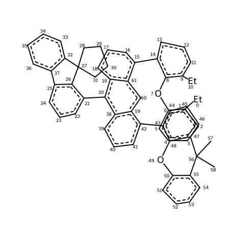 CCc1ccccc1Oc1c(CC)cccc1-c1cccc2c(-c3cccc4c3C3(CCCC3)c3ccccc3-4)c3cccc(-c4cccc5c4Oc4ccccc4C5(C)C)c3cc12